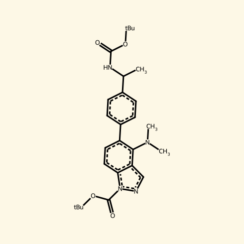 CC(NC(=O)OC(C)(C)C)c1ccc(-c2ccc3c(cnn3C(=O)OC(C)(C)C)c2N(C)C)cc1